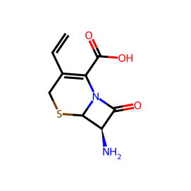 C=CC1=C(C(=O)O)N2C(=O)[C@@H](N)C2SC1